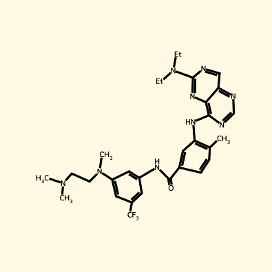 CCN(CC)c1ncc2ncnc(Nc3cc(C(=O)Nc4cc(N(C)CCN(C)C)cc(C(F)(F)F)c4)ccc3C)c2n1